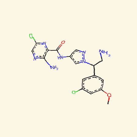 COc1cc(Cl)cc(C(CN)n2cc(NC(=O)c3nc(Cl)cnc3N)cn2)c1